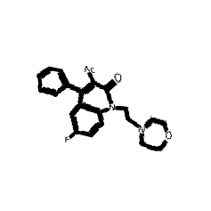 CC(=O)c1c(-c2ccccc2)c2cc(F)ccc2n(CCN2CCOCC2)c1=O